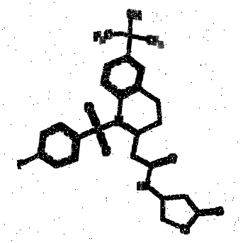 O=C(CC1CCc2cc(C(O)(C(F)(F)F)C(F)(F)F)ccc2N1S(=O)(=O)c1ccc(F)cc1)NC1COC(=O)C1